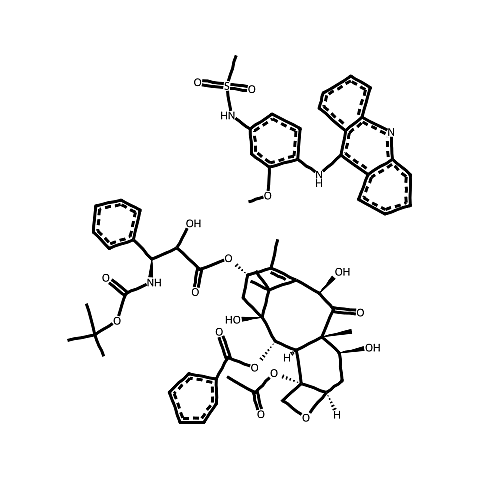 CC(=O)O[C@@]12CO[C@@H]1C[C@H](O)[C@@]1(C)C(=O)[C@H](O)C3=C(C)[C@@H](OC(=O)C(O)[C@@H](NC(=O)OC(C)(C)C)c4ccccc4)C[C@@](O)([C@@H](OC(=O)c4ccccc4)[C@H]21)C3(C)C.COc1cc(NS(C)(=O)=O)ccc1Nc1c2ccccc2nc2ccccc12